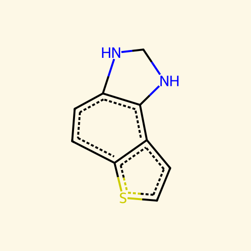 c1cc2c3c(ccc2s1)NCN3